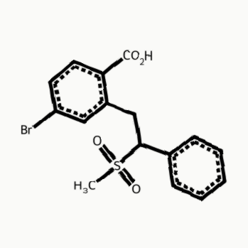 CS(=O)(=O)C(Cc1cc(Br)ccc1C(=O)O)c1ccccc1